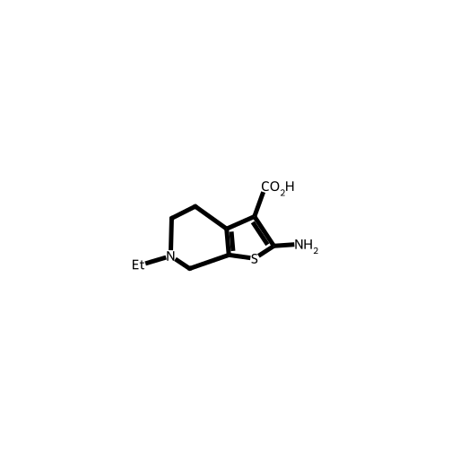 CCN1CCc2c(sc(N)c2C(=O)O)C1